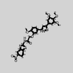 COc1ccc(-c2cc(-c3cc(OC)c(OC)c(OC)c3)n[nH]2)cc1OCC(=O)Nc1nc2cc([N+](=O)[O-])ccc2s1